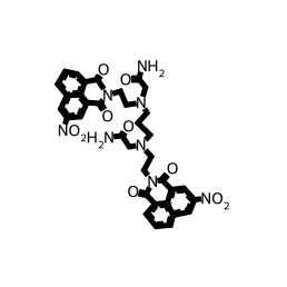 NC(=O)CN(CCCN(CCN1C(=O)c2cccc3cc([N+](=O)[O-])cc(c23)C1=O)CC(N)=O)CCN1C(=O)c2cccc3cc([N+](=O)[O-])cc(c23)C1=O